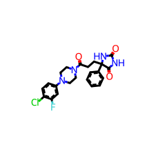 O=C1NC(=O)C(CCC(=O)N2CCN(c3ccc(Cl)c(F)c3)CC2)(c2ccccc2)N1